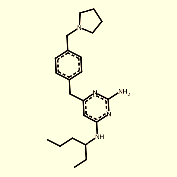 CCCC(CC)Nc1cc(Cc2ccc(CN3CCCC3)cc2)nc(N)n1